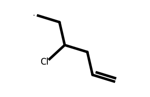 [CH2]CC(Cl)CC=C